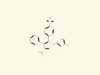 Cc1csc(-n2nc(C(F)F)c(-c3ccccc3)c2-c2ccc(S(C)(=O)=O)cc2)c1